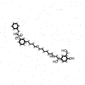 O=S(=O)(NCc1ccccc1)c1cccc(CCCCOCCCCCCNC[C@@H](O)c2ccc(O)c(CO)c2)c1